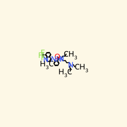 CCCN(CCC)CCCCN(CCC)C(=O)c1cccc(C)c1Nc1ccnc2c(C(F)(F)F)cccc12